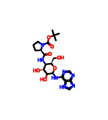 CC(C)(C)OC(=O)N1CCC[C@@H]1C(=O)N[C@@H]1[C@@H](O)[C@H](O)[C@H](Nc2ncnc3nc[nH]c23)O[C@H]1CO